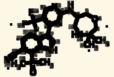 CC1(C)COCC(Nc2ncc(C(F)(F)F)c(-c3c[nH]c4c(P(C)(C)=O)c(C#N)ccc34)n2)CN1